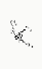 CCCCCC(=O)OC[C@@H]1OC[C@@H](OC(=O)CCCCC)[C@H]1OC(=O)CCCCC